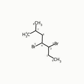 CC[C](Br)C(Br)CC(C)C